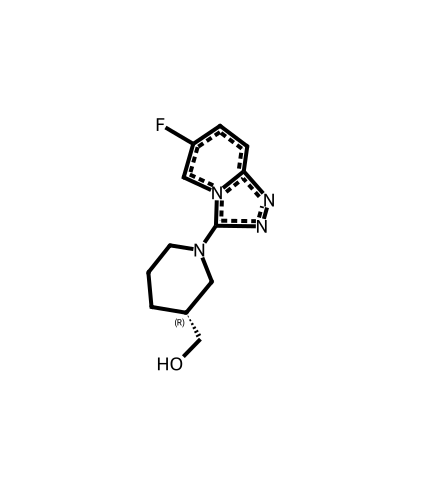 OC[C@@H]1CCCN(c2nnc3ccc(F)cn23)C1